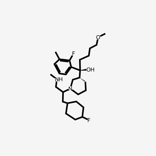 CNCC(CC1CCC(F)CC1)N1CCC[C@@H]([C@@](O)(CCCCOC)c2cccc(C)c2F)C1